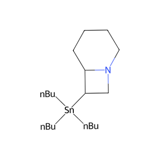 CCC[CH2][Sn]([CH2]CCC)([CH2]CCC)[CH]1CN2CCCCC12